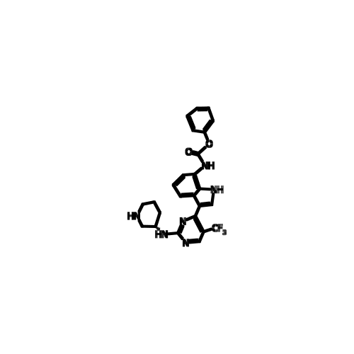 O=C(Nc1cccc2c(-c3nc(N[C@H]4CCCNC4)ncc3C(F)(F)F)c[nH]c12)Oc1ccccc1